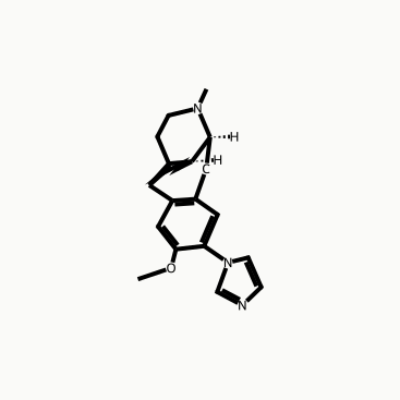 COc1cc2c(cc1-n1ccnc1)C[C@H]1[C@H]3CCCCC2C3CCN1C